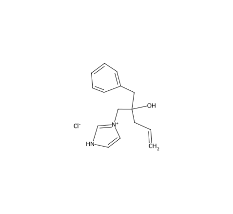 C=CCC(O)(Cc1ccccc1)C[n+]1cc[nH]c1.[Cl-]